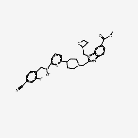 COC(=O)c1ccc2nc(CN3CCC(c4cccc([S+]([O-])Cc5ccc(C#N)cc5F)n4)CC3)n(C[C@@H]3CCO3)c2c1